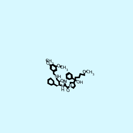 COCCCCC(O)(c1ccccc1)C1CCN(C(=O)C(=O)N[C@@H](CC2CCCCC2)[C@H](O)CNCc2cc(OC)cc(OC)c2)C1